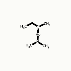 CC[P](C)[Ho][N](C)C